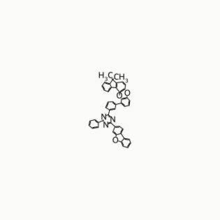 CC1(C)c2ccccc2-c2c1ccc1c2Oc2c(cccc2-c2cccc(-c3nc(-c4ccccc4)nc(-c4ccc5c(c4)oc4ccccc45)n3)c2)O1